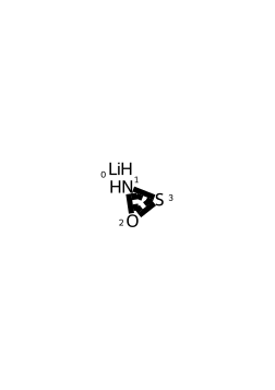 [LiH].[nH]1os1